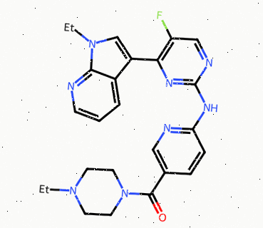 CCN1CCN(C(=O)c2ccc(Nc3ncc(F)c(-c4cn(CC)c5ncccc45)n3)nc2)CC1